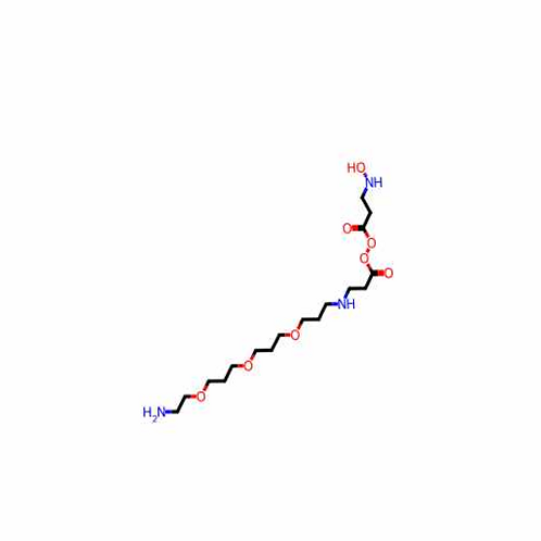 NCCOCCCOCCCOCCCNCCC(=O)OOC(=O)CCNO